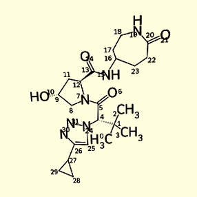 CC(C)(C)[C@@H](C(=O)N1C[C@H](O)C[C@H]1C(=O)NC1CCNC(=O)CC1)n1cc(C2CC2)nn1